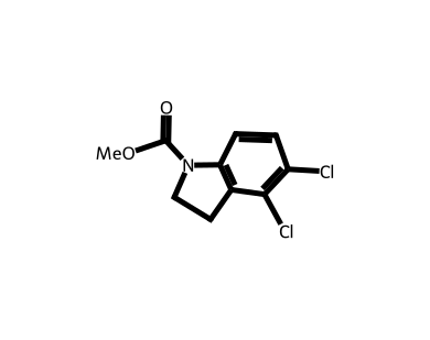 COC(=O)N1CCc2c1ccc(Cl)c2Cl